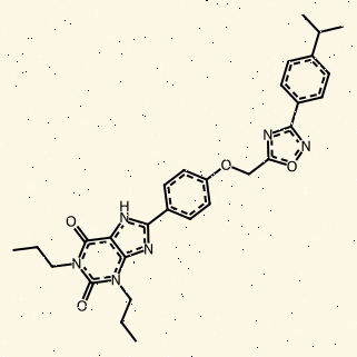 CCCn1c(=O)c2[nH]c(-c3ccc(OCc4nc(-c5ccc(C(C)C)cc5)no4)cc3)nc2n(CCC)c1=O